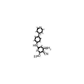 CCOc1nc(Nc2ccc(-c3ccncc3)cc2)cc(N)c1C#N